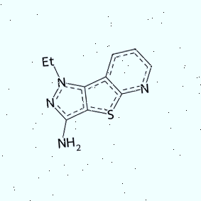 CCn1nc(N)c2sc3ncccc3c21